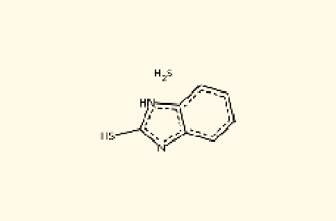 S.Sc1nc2ccccc2[nH]1